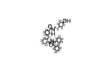 O=C(NCCc1ccc(O)cc1)c1cccc(CC2CCCC=C2c2nc(-c3ccccc3)c(-c3ccccc3)o2)c1